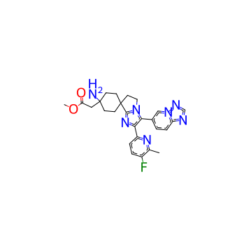 COC(=O)CC1(N)CCC2(CCn3c2nc(-c2ccc(F)c(C)n2)c3-c2ccc3ncnn3c2)CC1